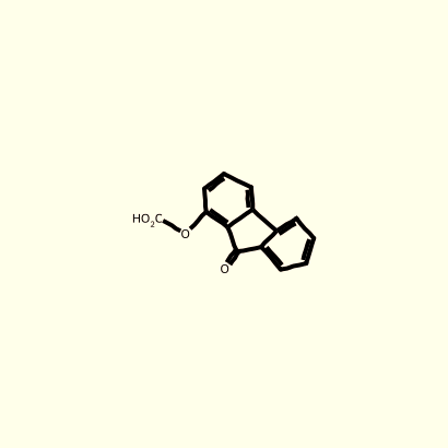 O=C(O)Oc1cccc2c1C(=O)c1ccccc1-2